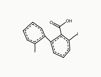 Cc1ccccc1-c1cccc(I)c1C(=O)O